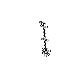 CC(C)(C)OC(=O)NCCCCCCNC(=O)CCCC[C@@H]1SC[C@@H]2NC(=O)N[C@@H]21